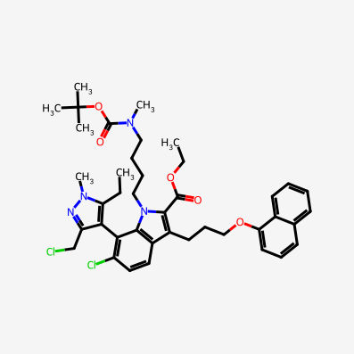 CCOC(=O)c1c(CCCOc2cccc3ccccc23)c2ccc(Cl)c(-c3c(CCl)nn(C)c3CC)c2n1CCCCN(C)C(=O)OC(C)(C)C